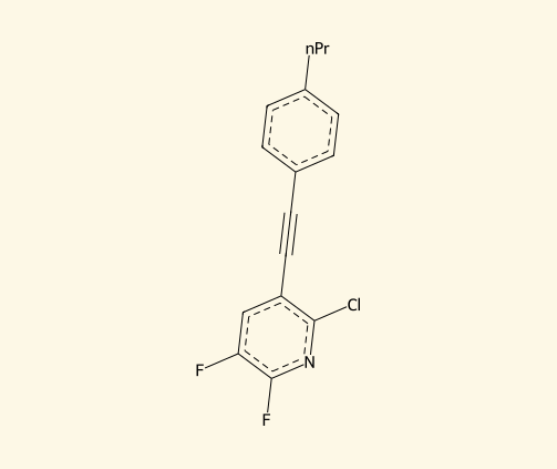 CCCc1ccc(C#Cc2cc(F)c(F)nc2Cl)cc1